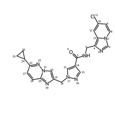 O=C(NCc1ncn2ccc(Cl)cc12)c1cnn(Cc2cn3nc(C4CC4)ccc3n2)c1